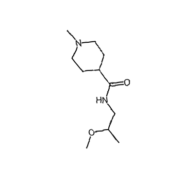 COC(C)CNC(=O)C1CCN(C)CC1